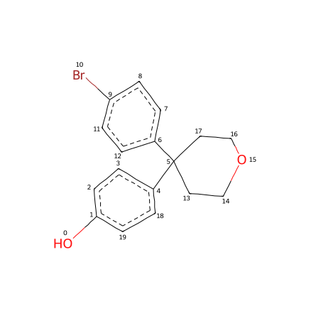 Oc1ccc(C2(c3ccc(Br)cc3)CCOCC2)cc1